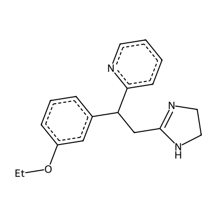 CCOc1cccc(C(CC2=NCCN2)c2ccccn2)c1